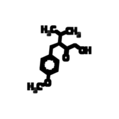 COc1ccc(C[C@H](C(=O)CO)C(C)C)cc1